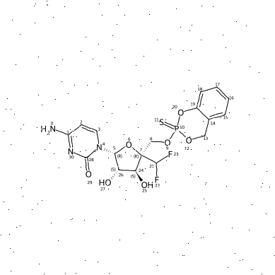 Nc1ccn([C@@H]2O[C@@](COP3(=S)OCc4ccccc4O3)(C(F)F)[C@@H](O)[C@@H]2O)c(=O)n1